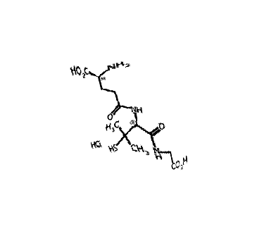 CC(C)(S)[C@@H](NC(=O)CC[C@H](N)C(=O)O)C(=O)NCC(=O)O.Cl